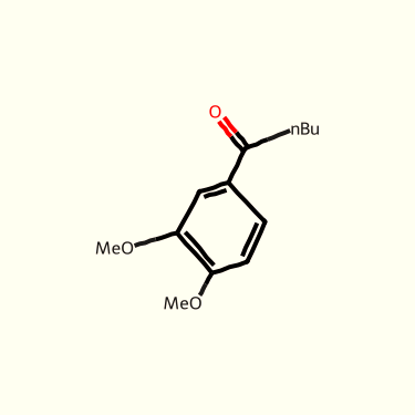 [CH2]CCCC(=O)c1ccc(OC)c(OC)c1